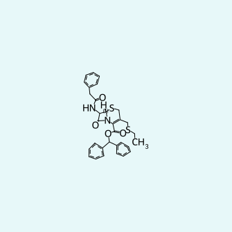 CCSCC1=C(C(=O)OC(c2ccccc2)c2ccccc2)N2C(=O)C(NC(=O)Cc3ccccc3)[C@@H]2SC1